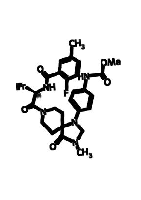 COC(=O)Nc1ccc(N2CN(C)C(=O)C23CCN(C(=O)[C@H](NC(=O)c2cc(C)ccc2F)C(C)C)CC3)cc1